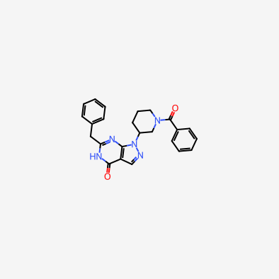 O=C(c1ccccc1)N1CCCC(n2ncc3c(=O)[nH]c(Cc4ccccc4)nc32)C1